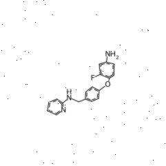 Nc1ccc(Oc2ccc(CNc3ccccn3)cc2)c(F)c1